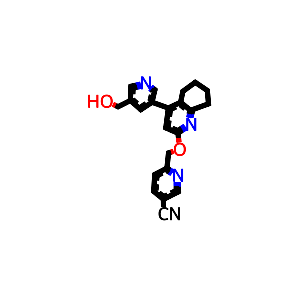 N#Cc1ccc(COc2cc(-c3cncc(CO)c3)c3c(n2)CCCC3)nc1